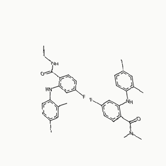 CCNC(=O)c1ccc(F)cc1Nc1ccc(I)cc1C.Cc1cc(I)ccc1Nc1cc(F)ccc1C(=O)N(C)C